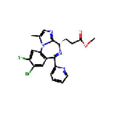 COC(=O)CC[C@@H]1N=C(c2ccccn2)c2cc(Br)c(Br)cc2-n2c(C)cnc21